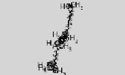 CO[Si](CCCCCCCC[Si](C)(C)c1ccc([Si](C)(C)CCCCCCCCCCCN(C)O)cc1)(OC)OC